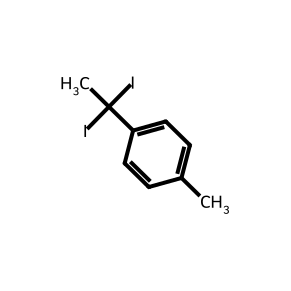 Cc1ccc(C(C)(I)I)cc1